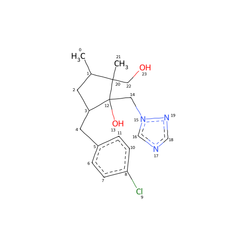 CC1CC(Cc2ccc(Cl)cc2)C(O)(Cn2cncn2)C1(C)CO